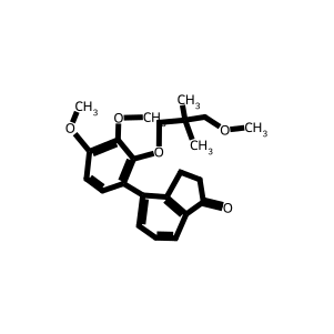 COCC(C)(C)COc1c(-c2cccc3c2CCC3=O)ccc(OC)c1OC